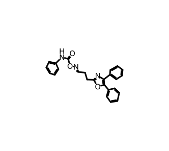 O=C(Nc1ccccc1)O/N=C/CCc1nc(-c2ccccc2)c(-c2ccccc2)o1